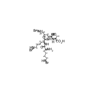 N[C@@H](CCCCNBr)C(=O)N[C@@H](CCCCNBr)C(=O)N[C@@H](CCCCNBr)C(=O)N[C@@H](CO)C(=O)O